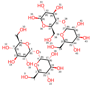 OC[C@H]1O[C@H](O[C@H]2O[C@H](CO)[C@@H](O)[C@H](O)[C@H]2O)[C@H](O)[C@@H](O)[C@@H]1O.OC[C@H]1O[C@H](O[C@H]2[C@H](O)[C@@H](O)[C@H](O)O[C@@H]2CO)[C@H](O)[C@@H](O)[C@@H]1O